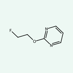 FCCOc1ncccn1